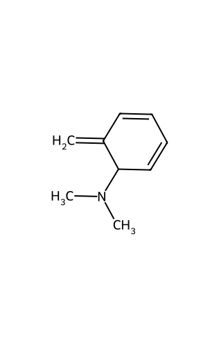 C=C1C=CC=CC1N(C)C